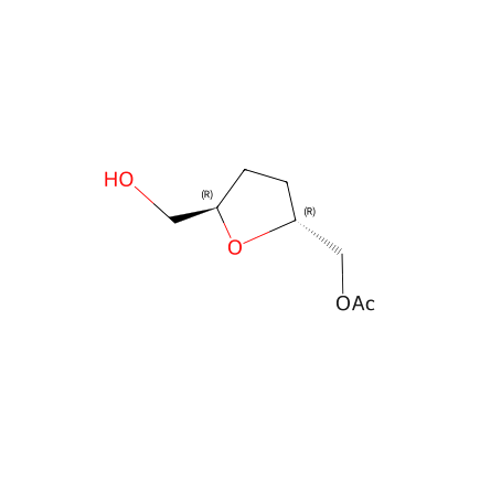 CC(=O)OC[C@H]1CC[C@H](CO)O1